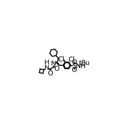 CC(C)(C)NS(=O)(=O)c1ccc(-c2oc(C(=O)NC3CCC3)nc2CC2CCCCC2)c(Cl)c1Cl